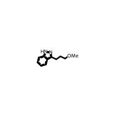 COCCCc1n[nH]c2ccccc12